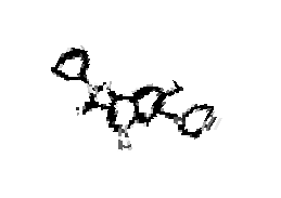 O=c1c2c[nH]c3cc(N4CCNCC4)c(F)cc3c-2nn1-c1ccccc1